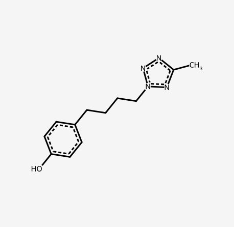 Cc1nnn(CCCCc2ccc(O)cc2)n1